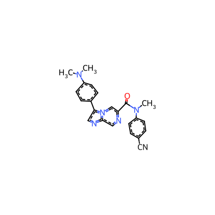 CN(C)c1ccc(-c2cnc3cnc(C(=O)N(C)c4ccc(C#N)cc4)cn23)cc1